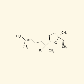 C=C[C@]1(C)CC[C@H]([C@@](C)(O)CCC=C(C)C)O1